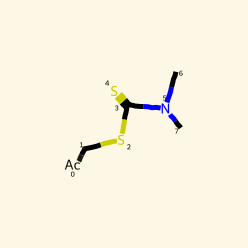 CC(=O)CSC(=S)N(C)C